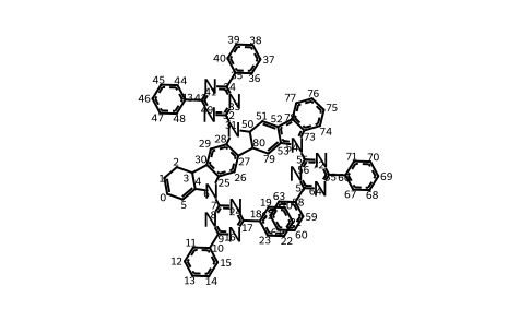 C1=CCC2C(=C1)N(c1nc(-c3ccccc3)nc(-c3ccccc3)n1)c1cc3c(cc12)N(c1nc(-c2ccccc2)nc(-c2ccccc2)n1)C1C=c2c(n(-c4nc(-c5ccccc5)nc(-c5ccccc5)n4)c4ccccc24)=CC31